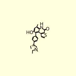 CC[C@@H](CN(C)CC)c1ccc(-c2c(O)cc(C)c3[nH]c(=O)c4sccc4c23)cc1